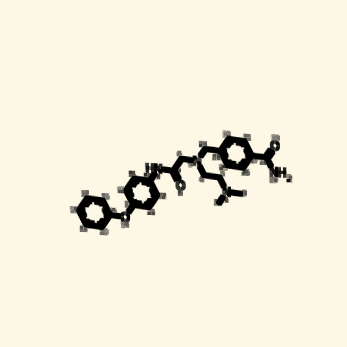 CN(C)CCN(CC(=O)Nc1ccc(Oc2ccccc2)cc1)Cc1ccc(C(N)=O)cc1